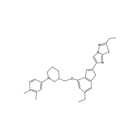 CCc1cc2c(c(OCC3CCCN(c4ccc(C)c(C)c4)C3)c1)C=C(c1cn3nc(CC)sc3n1)C2